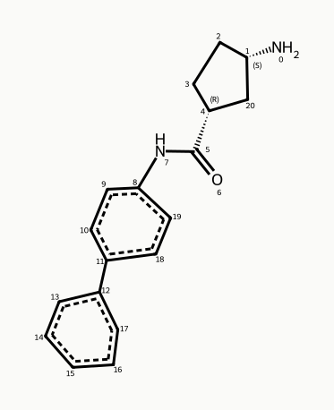 N[C@H]1CC[C@@H](C(=O)Nc2ccc(-c3ccccc3)cc2)C1